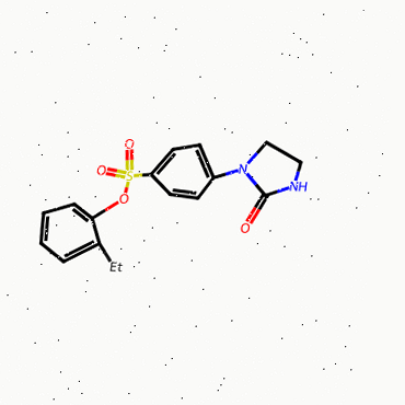 CCc1ccccc1OS(=O)(=O)c1ccc(N2CCNC2=O)cc1